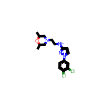 CC1CN(CCNc2ccn(-c3ccc(Cl)c(Cl)c3)n2)CC(C)O1